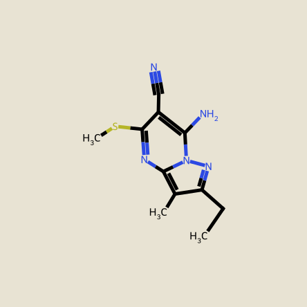 CCc1nn2c(N)c(C#N)c(SC)nc2c1C